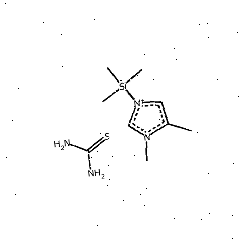 Cc1c[n+]([Si](C)(C)C)cn1C.NC(N)=S